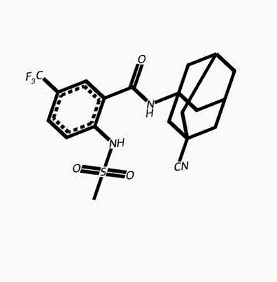 CS(=O)(=O)Nc1ccc(C(F)(F)F)cc1C(=O)NC12CC3CC(CC(C#N)(C3)C1)C2